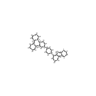 c1ccc2c(c1)oc1c(-c3ccc(-c4ccc5c6ccccc6c6ccccc6c5c4)cc3)cccc12